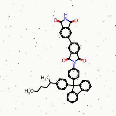 CCCCC(C)c1ccc(C2(c3ccc(N4C(=O)c5ccc(-c6ccc7c(c6)C(=O)NC7=O)cc5C4=O)cc3)c3ccccc3-c3ccccc32)cc1